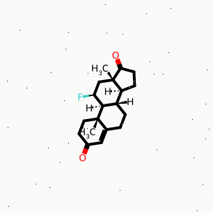 C[C@]12CCC(=O)C=C1CC[C@@H]1[C@@H]2[C@@H](F)C[C@]2(C)C(=O)CC[C@@H]12